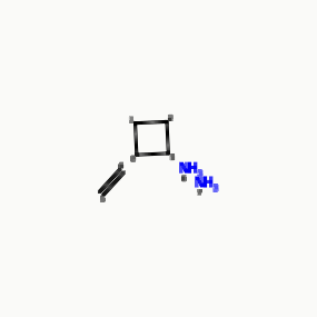 C1CCC1.C=C.N.N